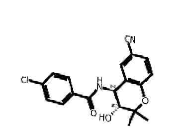 CC1(C)Oc2ccc(C#N)cc2[C@H](NC(=O)c2ccc(Cl)cc2)[C@H]1O